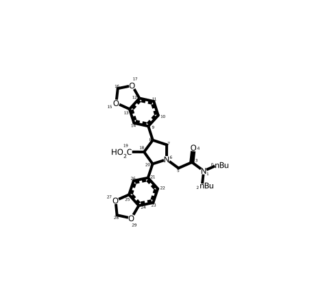 CCCCN(CCCC)C(=O)CN1CC(c2ccc3c(c2)OCO3)C(C(=O)O)C1c1ccc2c(c1)OCO2